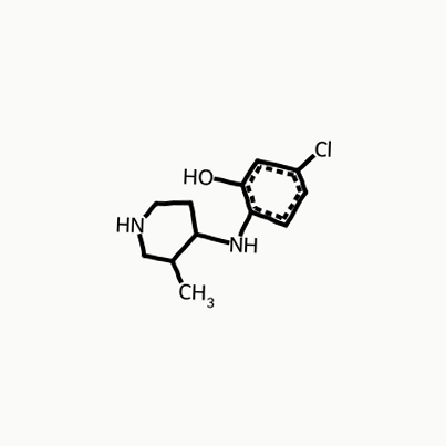 CC1CNCCC1Nc1ccc(Cl)cc1O